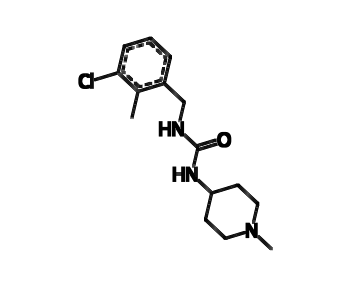 Cc1c(Cl)cccc1CNC(=O)NC1CCN(C)CC1